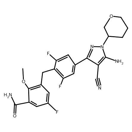 COc1c(Cc2c(F)cc(-c3nn(C4CCCOC4)c(N)c3C#N)cc2F)cc(F)cc1C(N)=O